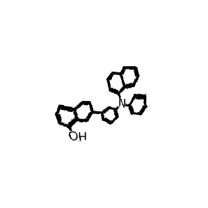 Oc1cccc2ccc(-c3cccc(N(c4ccccc4)c4cccc5ccccc45)c3)cc12